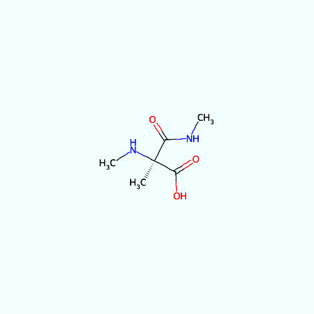 CNC(=O)[C@](C)(NC)C(=O)O